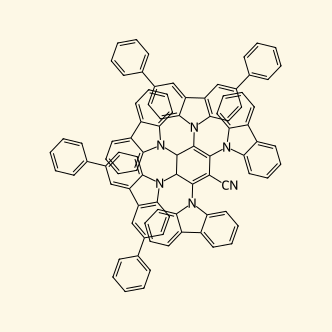 N#CC1=C(n2c3ccccc3c3ccccc32)C(n2c3ccc(-c4ccccc4)cc3c3cc(-c4ccccc4)ccc32)C(n2c3ccccc3c3ccccc32)C(n2c3ccc(-c4ccccc4)cc3c3cc(-c4ccccc4)ccc32)=C1n1c2ccccc2c2ccccc21